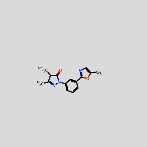 CC1=NN(c2cccc(-c3ncc(C)o3)c2)C(=O)C1C(=O)O